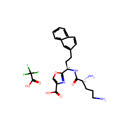 NCCC[C@@H](N)C(=O)N[C@H](CCc1ccc2ccccc2c1)c1nc(C(=O)O)co1.O=C(O)C(F)(F)F